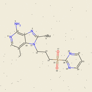 CCCCc1nc2c(N)ncc(C)c2n1CCCS(=O)(=O)c1ncccn1